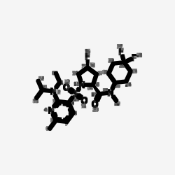 CCN(c1nc(C)ccc1S(=O)(=O)N1C[C@@H](F)C[C@H]1C(=O)N(C)C1CCC(F)(F)CC1)C(C)C